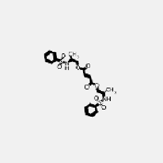 C[C@@H](COC(=O)/C=C/C(=O)OC[C@H](C)NS(=O)(=O)c1ccccc1)NS(=O)(=O)c1ccccc1